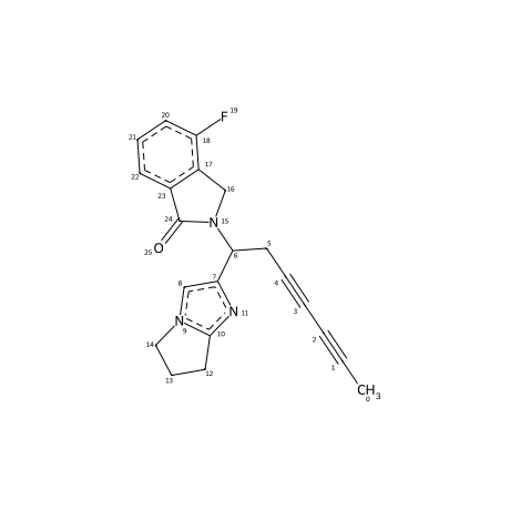 CC#CC#CCC(c1cn2c(n1)CCC2)N1Cc2c(F)cccc2C1=O